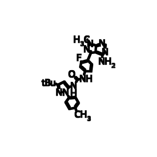 Cc1ccc(-n2nc(C(C)(C)C)cc2NC(=O)Nc2ccc(-c3nn(C)c4ncnc(N)c34)c(F)c2)cc1